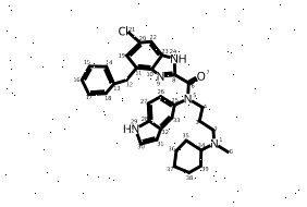 CN(CCCN(C(=O)c1nc2c(Cc3ccccc3)cc(Cl)cc2[nH]1)c1ccc2[nH]ccc2c1)C1CCCCC1